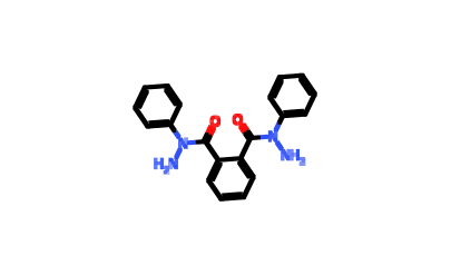 NN(C(=O)c1ccccc1C(=O)N(N)c1ccccc1)c1ccccc1